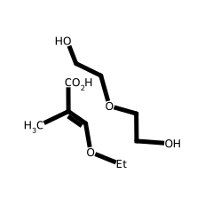 CCOC=C(C)C(=O)O.OCCOCCO